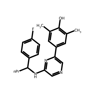 CCCC(Nc1cncc(-c2cc(C)c(O)c(C)c2)n1)c1ccc(F)cc1